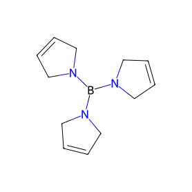 C1=CCN(B(N2CC=CC2)N2CC=CC2)C1